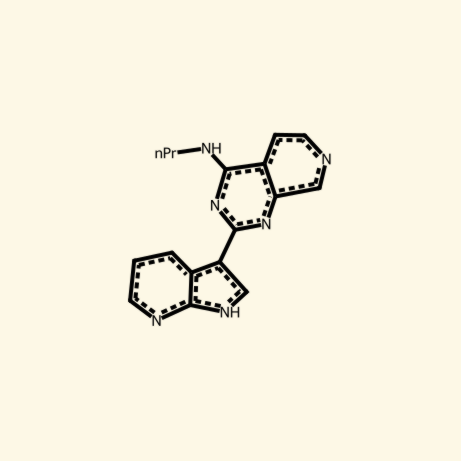 CCCNc1nc(-c2c[nH]c3ncccc23)nc2cnccc12